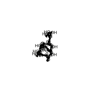 C=P(O)(OC[C@@H]1C[C@@H](OP(=C)(O)OC[C@@H]2C[C@@H](OC(C)(C)C)CN2C(=O)CCCCOC2OC(CO)C(O)C(O)C2NC(C)=O)CN1C(=O)CCCCOC1OC(CO)C(O)C(O)C1NC(C)=O)O[C@@H]1C[C@@H](CC)N(C(=O)CCCCOC2CC(CO)C(O)C(O)C2NC(C)=O)C1